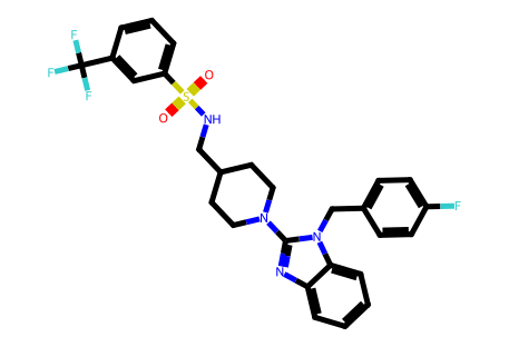 O=S(=O)(NCC1CCN(c2nc3ccccc3n2Cc2ccc(F)cc2)CC1)c1cccc(C(F)(F)F)c1